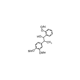 COc1ccc(C(C)C(O)c2ccccc2OOC(C)=O)cc1OC